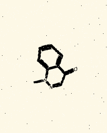 Cn1ncc(=O)c2ccccc21